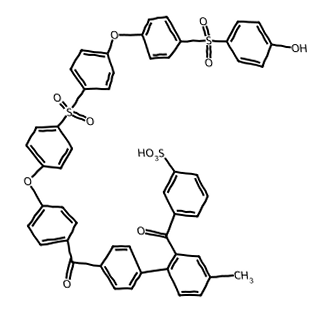 Cc1ccc(-c2ccc(C(=O)c3ccc(Oc4ccc(S(=O)(=O)c5ccc(Oc6ccc(S(=O)(=O)c7ccc(O)cc7)cc6)cc5)cc4)cc3)cc2)c(C(=O)c2cccc(S(=O)(=O)O)c2)c1